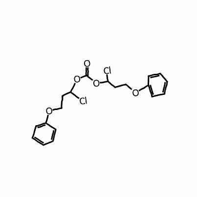 O=C(OC(Cl)CCOc1ccccc1)OC(Cl)CCOc1ccccc1